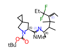 C/C=C(/C(F)(F)CC)C(C)(C)C(C)[C@@H](C)/N=C(\NC)[C@@H]1CC2(CC2)CN1C(=O)OC(C)(C)C